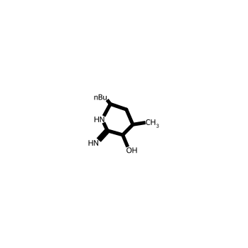 CCCCC1CC(C)C(O)C(=N)N1